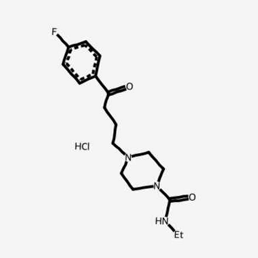 CCNC(=O)N1CCN(CCCC(=O)c2ccc(F)cc2)CC1.Cl